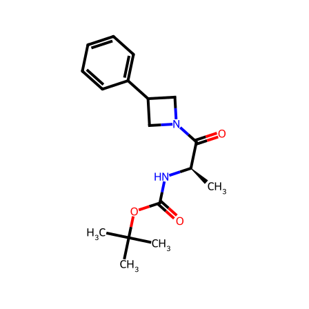 C[C@@H](NC(=O)OC(C)(C)C)C(=O)N1CC(c2ccccc2)C1